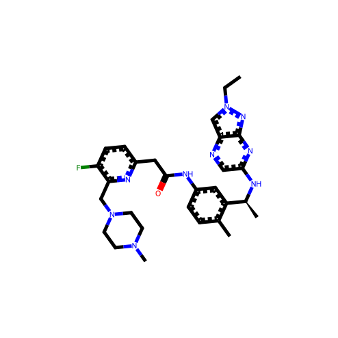 CCn1cc2ncc(N[C@@H](C)c3cc(NC(=O)Cc4ccc(F)c(CN5CCN(C)CC5)n4)ccc3C)nc2n1